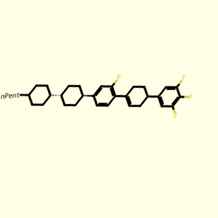 CCCCCC1CCC([C@H]2CC[C@H](c3ccc(C4=CCC(c5cc(F)c(F)c(F)c5)CC4)c(F)c3)CC2)CC1